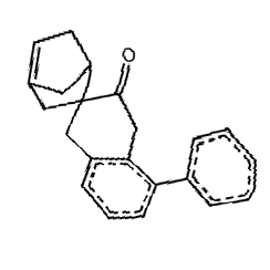 O=C1Cc2c(cccc2-c2ccccc2)CC12CC1=CCC2C1